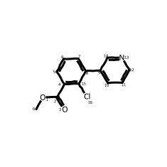 COC(=O)c1cccc(-c2cccnc2)c1Cl